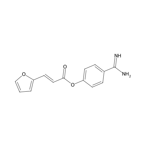 N=C(N)c1ccc(OC(=O)C=Cc2ccco2)cc1